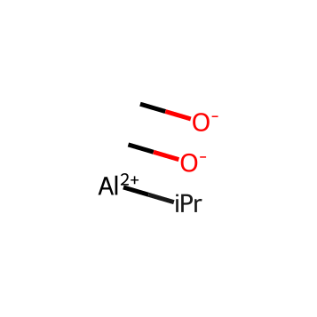 C[CH](C)[Al+2].C[O-].C[O-]